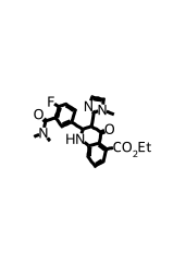 CCOC(=O)c1cccc2c1C(=O)C(c1nccn1C)C(c1ccc(F)c(C(=O)N(C)C)c1)N2